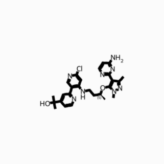 Cc1nn(C)c(O[C@@H](C)CCNc2cc(Cl)ncc2-c2cc(C(C)(C)O)ccn2)c1-c1nccc(N)n1